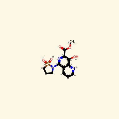 COC(=O)c1nc(N2CCCS2(=O)=O)c2cccnc2c1O